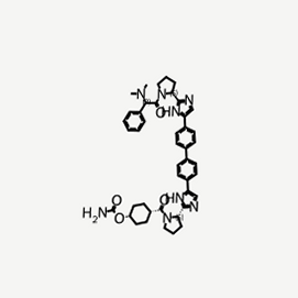 CN(C)[C@@H](C(=O)N1CCC[C@H]1c1ncc(-c2ccc(-c3ccc(-c4cnc([C@@H]5CCCN5C(=O)[C@H]5CC[C@@H](OC(N)=O)CC5)[nH]4)cc3)cc2)[nH]1)c1ccccc1